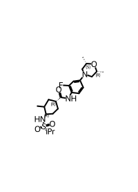 CC1C[C@H](C(=O)Nc2ccc(N3C[C@@H](C)O[C@@H](C)C3)cc2F)CC[C@H]1NS(=O)(=O)C(C)C